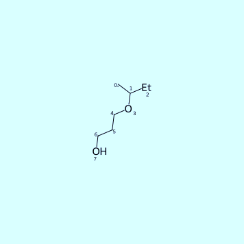 [CH2]C(CC)OCCCO